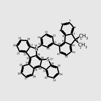 CC1(C)c2ccccc2-c2c(-c3cccc(-n4c5ccccc5c5c6ccccc6c6c7ccccc7sc6c54)c3)cccc21